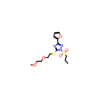 CCCS(=O)(=O)n1nc(-c2ccco2)nc1SCCOCCOC